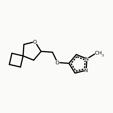 Cn1cc(OCC2CC3(CCC3)CO2)cn1